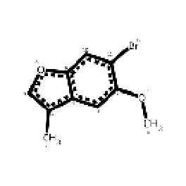 COc1cc2c(C)[c]oc2cc1Br